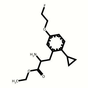 CCOC(=O)C(N)Cc1cc(OCCF)ccc1C1CC1